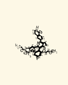 C=CC(=O)N1Cc2cc(-c3nc(-c4ccc5c(c4)CCNC5=O)c4ccsc4c3-c3c(F)cc(F)cc3OCCOC)nn2CC1C